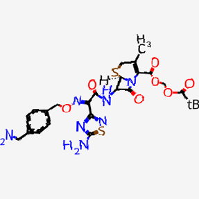 CC1=C(C(=O)OCOC(=O)C(C)(C)C)N2C(=O)C(NC(=O)/C(=N/OCc3ccc(CN)cc3)c3nsc(N)n3)[C@H]2SC1